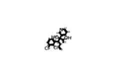 C=CCC(c1cccc(Cl)c1Cl)C(O)(c1cccnc1)C(C)O